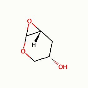 O[C@@H]1COC2O[C@@H]2C1